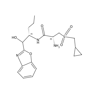 CCC[C@H](NC(=O)[C@@H](N)CS(=O)(=O)CC1CC1)C(O)c1nc2ccccc2o1